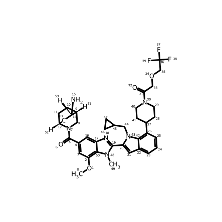 COc1cc(C(=O)N2C[C@H]3CC[C@@H]2C[C@@H]3N)cc2nc(-c3cc4cccc(C5CCN(C(=O)COCC(F)(F)F)CC5)c4n3CC3CC3)n(C)c12